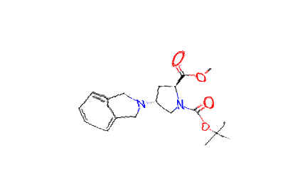 COC(=O)[C@@H]1C[C@@H](N2Cc3ccccc3C2)CN1C(=O)OC(C)(C)C